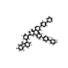 c1ccc(-c2ccc(-c3ccc4c(c3)c3cc(-c5ccc(-c6ccccc6)cc5)ccc3c3nc(-c5cccc(-c6cccc7c6sc6ccccc67)c5)cnc43)cc2)cc1